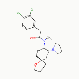 CN(C(=O)Cc1ccc(Cl)c(Cl)c1)[C@@H]1CC[C@]2(CCCO2)C[C@H]1N1CCCC1